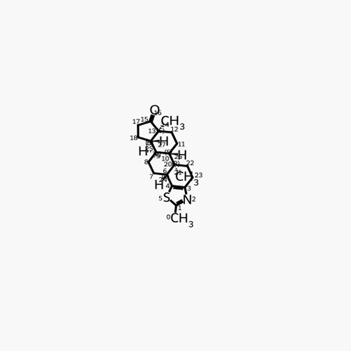 Cc1nc2c(s1)[C@@H]1CC[C@@H]3[C@H](CC[C@]4(C)C(=O)CC[C@@H]34)[C@@]1(C)CC2